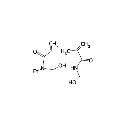 C=C(C)C(=O)NCO.C=CC(=O)N(CC)CO